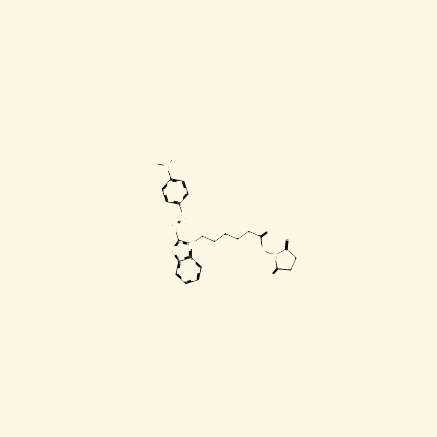 CN(C)c1ccc(N=Nc2nc3ccccc3n2CCCCCC(=O)ON2C(=O)CCC2=O)cc1